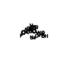 Cc1c(S(=O)(=O)Nc2ccc(-c3nc(C(=O)O)co3)cc2S(C)(=O)=O)sc2ccc(F)cc12.[Na]